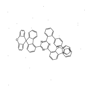 c1ccc(-c2ccc(-c3ccccc3-c3nc(-c4cccc5c4-c4ccccc4C54c5ccccc5Oc5ccccc54)nc(-c4cccc5c4oc4ccccc45)n3)cc2)cc1